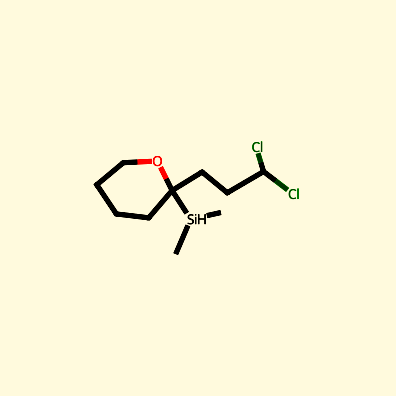 C[SiH](C)C1(CCC(Cl)Cl)CCCCO1